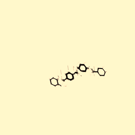 CC1CCCCC1NC(=O)c1ccc(-c2nc3cc(NC(=O)C4CCCCC4)ccc3[nH]2)cc1